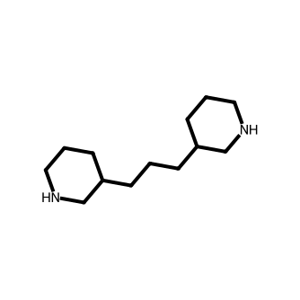 C1CNCC(CCCC2CCCNC2)C1